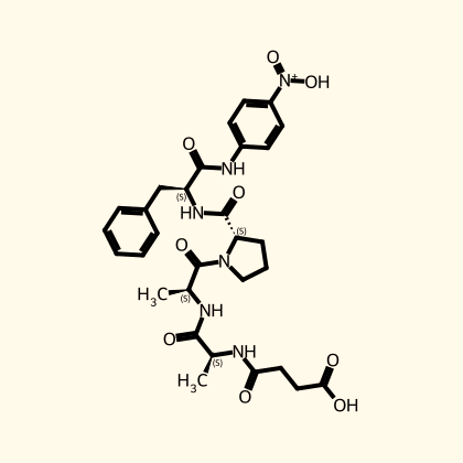 C[C@H](NC(=O)CCC(=O)O)C(=O)N[C@@H](C)C(=O)N1CCC[C@H]1C(=O)N[C@@H](Cc1ccccc1)C(=O)Nc1ccc([N+](=O)O)cc1